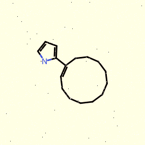 C1=C[N]C(/C2=C/CCCCCCCCCC2)=C1